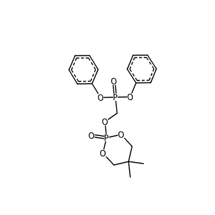 CC1(C)COP(=O)(OCP(=O)(Oc2ccccc2)Oc2ccccc2)OC1